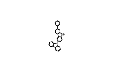 c1ccc(-c2ccc3c(c2)[nH]c2ccc(-n4c5ccccc5c5ccccc54)cc23)cc1